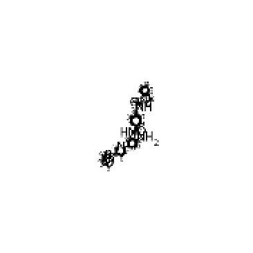 CC1(C)OB(c2ccc(-c3ccc(N)c(NC(=O)c4ccc(CNC(=O)N5CCc6ccccc65)cc4)c3)nc2)OC1(C)C